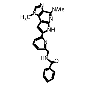 CNc1nc2[nH]c(-c3cccc(CNC(=O)c4ccccc4)n3)cc2c2c1ncn2C